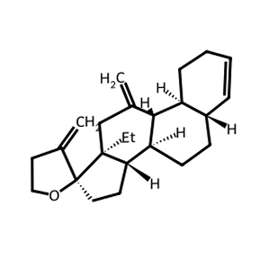 C=C1C[C@@]2(CC)[C@@H](CC[C@@]23OCCC3=C)[C@@H]2CC[C@H]3C=CCC[C@@H]3[C@@H]12